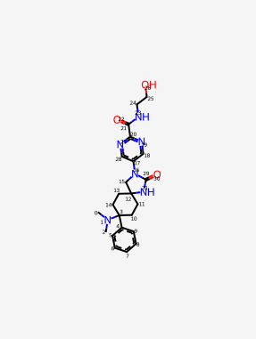 CN(C)C1(c2ccccc2)CCC2(CC1)CN(c1cnc(C(=O)NCCO)nc1)C(=O)N2